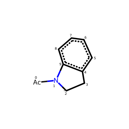 CC(=O)N1[CH]Cc2ccccc21